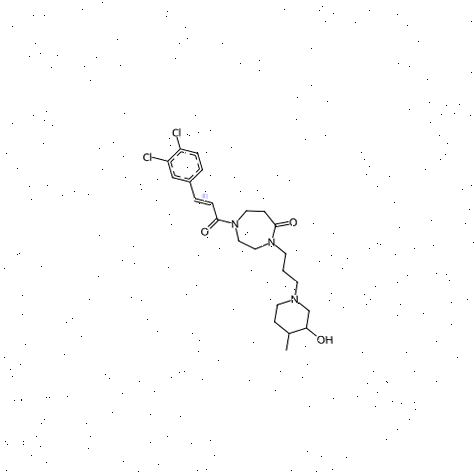 CC1CCN(CCCN2CCN(C(=O)/C=C/c3ccc(Cl)c(Cl)c3)CCC2=O)CC1O